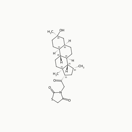 C[C@@H]1C[C@H](C(=O)CN2C(=O)CSC2=O)[C@@]2(C)CC[C@H]3[C@@H](CC[C@@H]4C[C@](C)(O)CC[C@@H]43)[C@H]12